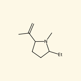 C=C(C)C1CCC(CC)N1C